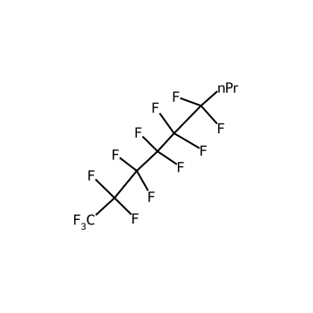 [CH2]CCC(F)(F)C(F)(F)C(F)(F)C(F)(F)C(F)(F)C(F)(F)F